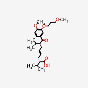 COCCCOc1cc(C(=O)[C@@H](CC=CC[C@H](C(=O)O)C(C)C)C(C)C)ccc1OC